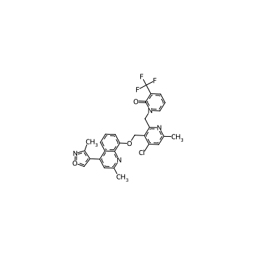 Cc1cc(Cl)c(COc2cccc3c(-c4conc4C)cc(C)nc23)c(Cn2cccc(C(F)(F)F)c2=O)n1